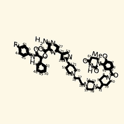 COc1ccc(C(=O)N2CCC(CN3CCN(CCCN4CCC(n5cc(-c6cnc(N)c(C(=O)O[C@@H](C(=O)Nc7ccc(F)cc7)c7ccccc7)n6)cn5)CC4)CC3)CC2)cc1N1CCC(=O)NC1=O